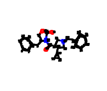 O=C1OCC(Cc2ccccc2)N1C(=O)[C@@H]1CN(Cc2ccccc2)C[C@H]1C1CC1